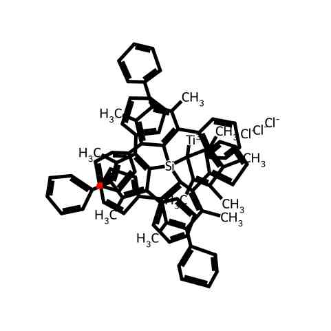 CC1=C(C)[C]([Ti+3])([Si](c2c(-c3ccccc3)c(C)c(-c3ccccc3)c(C)c2-c2ccccc2)(c2c(-c3ccccc3)c(C)c(-c3ccccc3)c(C)c2-c2ccccc2)c2c(-c3ccccc3)c(C)c(-c3ccccc3)c(C)c2-c2ccccc2)C(C)=C1C.[Cl-].[Cl-].[Cl-]